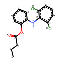 CCCC(=O)Oc1ccccc1Nc1c(Cl)cccc1Cl